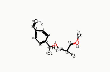 C=Cc1ccc(C(CC)O[SiH2]C(CC)COCC)cc1